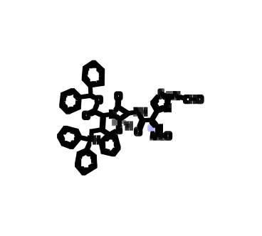 CO/N=C(\C(=O)NC1C(=O)N2C(C(=O)OC(c3ccccc3)c3ccccc3)=C(C[PH](c3ccccc3)(c3ccccc3)c3ccccc3)CS[C@H]12)c1csc(NC=O)n1